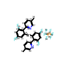 Cc1ccc(-c2c(F)cc(F)c[c]2[Ir+][c]2cc(F)cc(F)c2-c2ccc(C)cn2)nc1.F[P-](F)(F)(F)(F)F